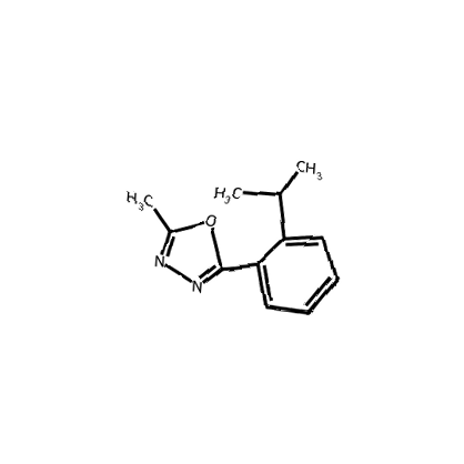 Cc1nnc(-c2ccccc2C(C)C)o1